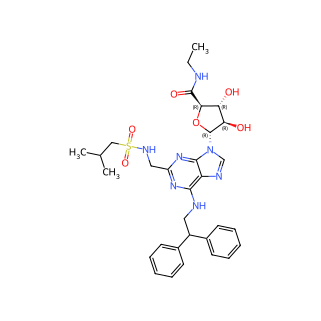 CCNC(=O)[C@@H]1O[C@@H](n2cnc3c(NCC(c4ccccc4)c4ccccc4)nc(CNS(=O)(=O)CC(C)C)nc32)[C@H](O)[C@H]1O